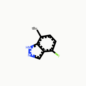 CC(C)(C)c1ccc(F)c2cn[nH]c12